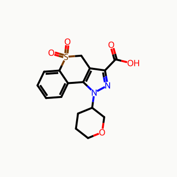 O=C(O)c1nn(C2CCCOC2)c2c1CS(=O)(=O)c1ccccc1-2